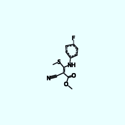 COC(=O)C(C#N)=C(Nc1ccc(F)cc1)SC